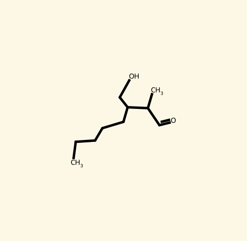 CCCCCC(CO)C(C)C=O